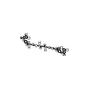 CN(C)C1Cc2c(Cl)cc(Cl)cc2[C@@H]1Oc1ccc(S(=O)(=O)NCCOCCOCCNC(=O)CCC(=O)NCCOCCOCCNS(=O)(=O)c2ccc(O[C@H]3c4cc(Cl)cc(Cl)c4C[C@@H]3N(C)C)cc2)cc1